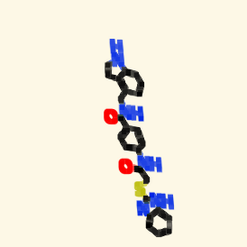 O=C(CSc1nc2ccccc2[nH]1)Nc1ccc(C(=O)NCc2cccc3[nH]ccc23)cc1